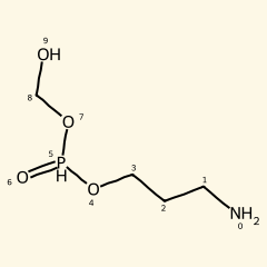 NCCCO[PH](=O)OCO